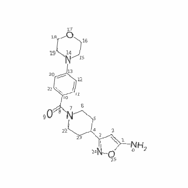 Nc1cc(C2CCN(C(=O)c3ccc(N4CCOCC4)cc3)CC2)no1